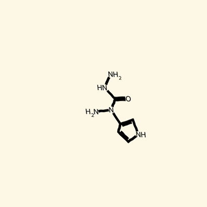 NNC(=O)N(N)c1cc[nH]c1